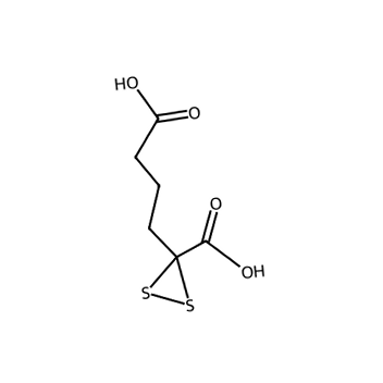 O=C(O)CCCC1(C(=O)O)SS1